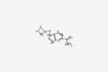 NC(=O)c1cc2ncn(CC3CCO3)c2cn1